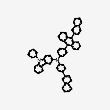 c1ccc(-n2c3ccccc3c3cc(N(c4ccc(-c5ccc6ccccc6c5)cc4)c4ccc(-c5c6ccccc6c(-c6ccc7ccccc7c6)c6ccccc56)cc4)ccc32)cc1